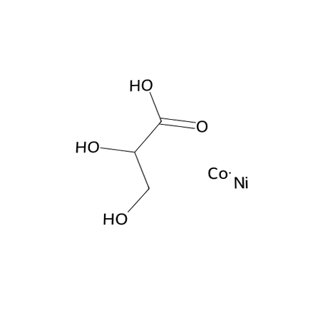 O=C(O)C(O)CO.[Co].[Ni]